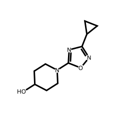 OC1CCN(c2nc(C3CC3)no2)CC1